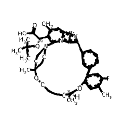 Cc1cc2c(cc1F)-c1cccc(c1)-c1nc3cc(C)c([C@H](OC(C)(C)C)C(=O)O)c(n3c1Br)N1CCC(C)(CC1)OCCCC[C@H](C)O2